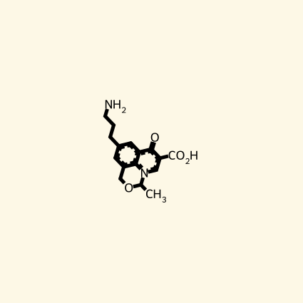 CC1OCc2cc(CCCN)cc3c(=O)c(C(=O)O)cn1c23